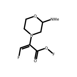 CNC1CN(C(=CF)C(=O)OF)CCO1